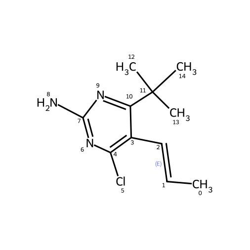 C/C=C/c1c(Cl)nc(N)nc1C(C)(C)C